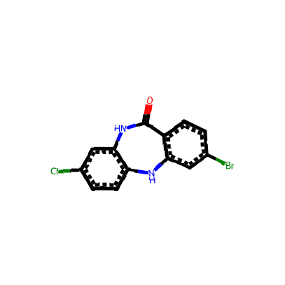 O=C1Nc2cc(Cl)ccc2Nc2cc(Br)ccc21